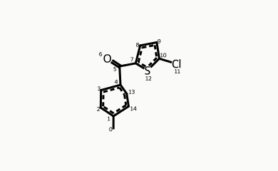 Cc1ccc(C(=O)c2ccc(Cl)s2)cc1